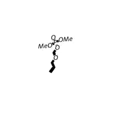 C=CCOCOP(=O)(OC)OC